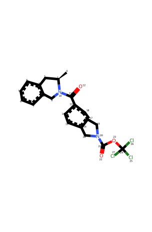 C[C@@H]1Cc2ccccc2CN1C(=O)c1ccc2c(c1)CN(C(=O)OC(Cl)(Cl)Cl)C2